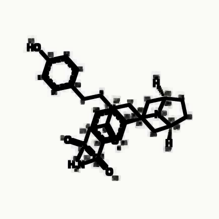 CS(=O)(=O)CC(=O)N(CCc1ccc(O)cc1)CCN1[C@@H]2CC[C@H]1C[C@@H](c1cccc(C(N)=O)c1)C2